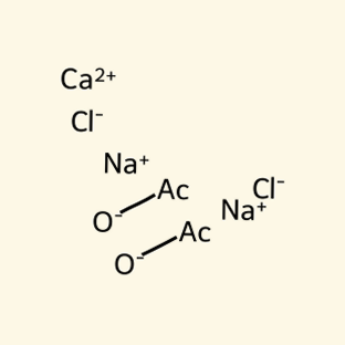 CC(=O)[O-].CC(=O)[O-].[Ca+2].[Cl-].[Cl-].[Na+].[Na+]